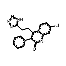 O=c1[nH]c2cc(Cl)ccc2c(CCc2nnn[nH]2)c1-c1ccccc1